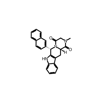 CN1CC(=O)N2[C@@H](c3ccc4ccccc4c3)c3[nH]c4ccccc4c3C[C@H]2C1=O